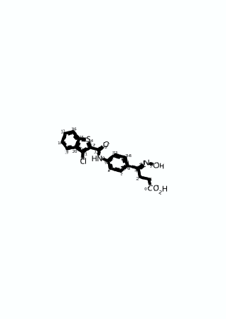 O=C(O)CCC(=NO)c1ccc(NC(=O)c2sc3ccccc3c2Cl)cc1